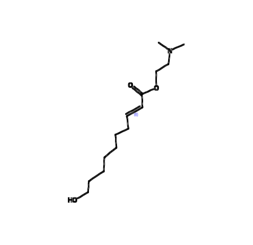 CN(C)CCOC(=O)/C=C/CCCCCCCO